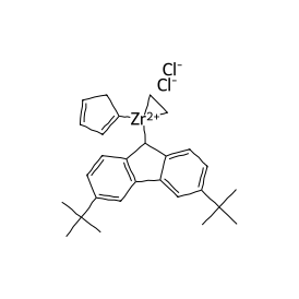 CC(C)(C)c1ccc2c(c1)-c1cc(C(C)(C)C)ccc1[CH]2[Zr+2]1([C]2=CC=CC2)[CH2][CH2]1.[Cl-].[Cl-]